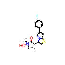 C[N+](C)(O)C(=O)Cc1csc2cc(-c3ccc(F)cc3)cn12